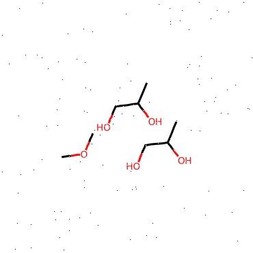 CC(O)CO.CC(O)CO.COC